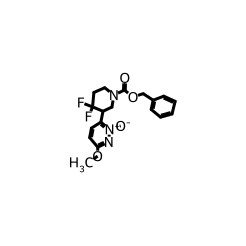 COc1ccc(C2CN(C(=O)OCc3ccccc3)CCC2(F)F)[n+]([O-])n1